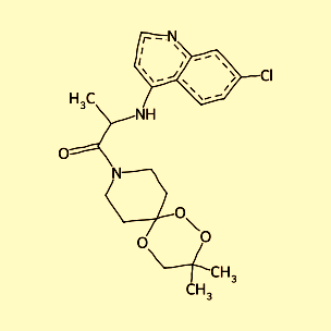 CC(Nc1ccnc2cc(Cl)ccc12)C(=O)N1CCC2(CC1)OCC(C)(C)OO2